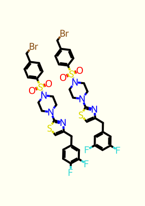 O=S(=O)(c1ccc(CBr)cc1)N1CCN(c2nc(Cc3cc(F)cc(F)c3)cs2)CC1.O=S(=O)(c1ccc(CBr)cc1)N1CCN(c2nc(Cc3ccc(F)c(F)c3)cs2)CC1